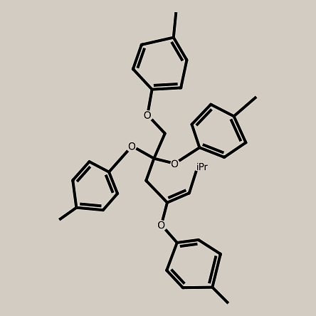 Cc1ccc(OCC(C/C(=C\C(C)C)Oc2ccc(C)cc2)(Oc2ccc(C)cc2)Oc2ccc(C)cc2)cc1